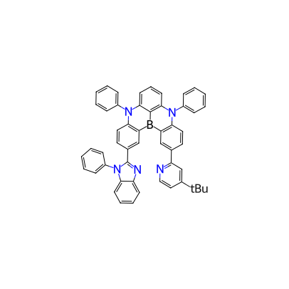 CC(C)(C)c1ccnc(-c2ccc3c(c2)B2c4cc(-c5nc6ccccc6n5-c5ccccc5)ccc4N(c4ccccc4)c4cccc(c42)N3c2ccccc2)c1